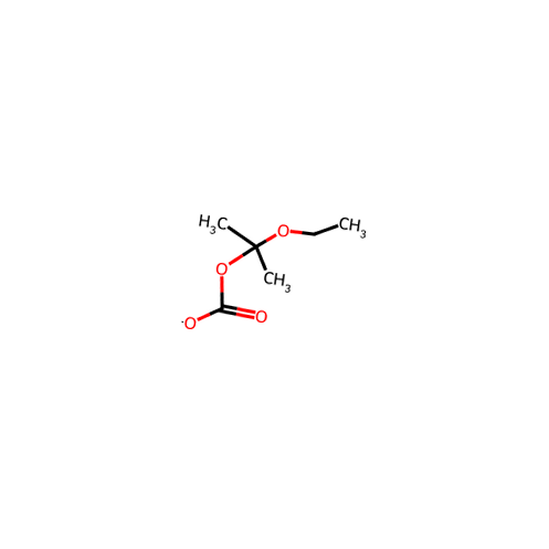 CCOC(C)(C)OC([O])=O